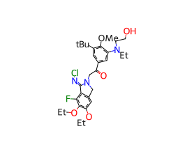 CCOc1cc2c(c(F)c1OCC)/C(=N/Cl)N(CC(=O)c1cc(N(CC)CCO)c(OC)c(C(C)(C)C)c1)C2